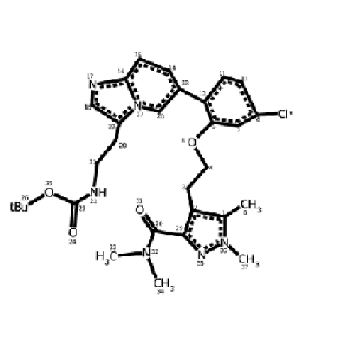 Cc1c(CCOc2cc(Cl)ccc2-c2ccc3ncc(CCNC(=O)OC(C)(C)C)n3c2)c(C(=O)N(C)C)nn1C